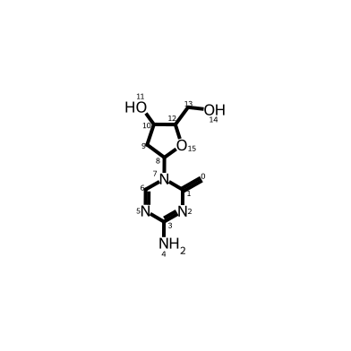 C=C1N=C(N)N=CN1C1CC(O)C(CO)O1